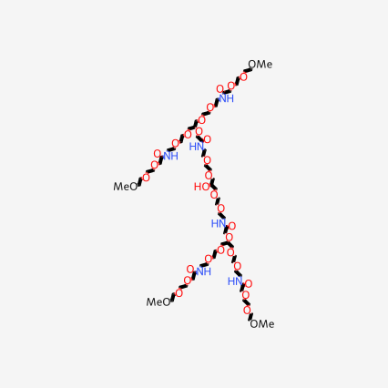 COCCOCCOCC(=O)NCCOCCOCC(COCCOCCNC(=O)COCCOCCOC)OCC(=O)NCCOCCOCC(O)COCCOCCNC(=O)COC(COCCOCCNC(=O)COCCOCCOC)COCCOCCNC(=O)COCCOCCOC